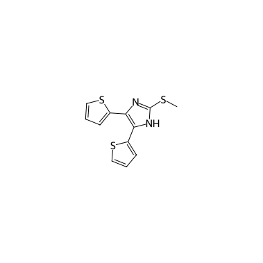 CSc1nc(-c2cccs2)c(-c2cccs2)[nH]1